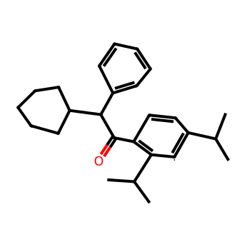 CC(C)c1[c]c(C(C)C)c(C(=O)C(c2ccccc2)C2CCCCC2)cc1